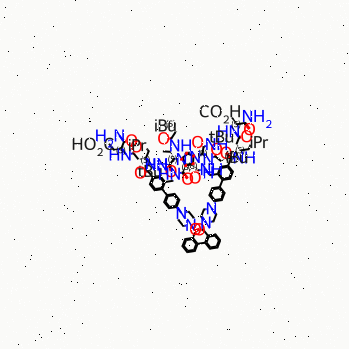 CC[C@H](C)CC(=O)NC(C)[C@@H](C(=O)NC(C)(C)C)N1CCC[C@H]1C(=O)NCc1cc(C(=O)N[C@H](CC(=O)N[C@@H](CC(=O)O)C(N)=O)CC(C)C)ccc1-c1ccc(N2CCN(C(=O)c3ccccc3-c3ccccc3C(=O)N3CCN(c4ccc(-c5ccc(C(=O)N[C@H](CC(=O)N[C@@H](CC(=O)O)C(N)=O)CC(C)C)cc5CNC(=O)[C@@H]5CCCN5[C@@H](NC(=O)C[C@@H](C)CC)C(=O)NC(C)(C)C)cc4)CC3)CC2)cc1